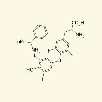 CCCC(N)c1ccccc1.NC(Cc1cc(I)c(Oc2cc(I)c(O)c(I)c2)c(I)c1)C(=O)O